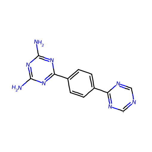 Nc1nc(N)nc(-c2ccc(-c3n[c]ncn3)cc2)n1